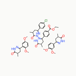 CC1CC(c2ccc(Cl)cc2)=NNC1=O.CCOC(=O)c1ccc(C2=NNC(=O)C(C)C2)cc1.COc1ccc(C2=NNC(=O)C(C)C2)cc1OC.COc1ccc(OC)c(C2=NNC(=O)C(C)C2)c1